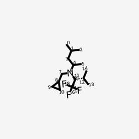 CC(C)CC(C)N(CC1CC1)[C@H](C(C)C)C(F)(F)F